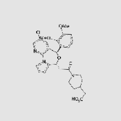 COc1cccc([C@H]2O[C@H](CC(=O)N3CCC(CC(=O)O)CC3)c3cccn3-c3ncc(Cl)cc32)c1OC